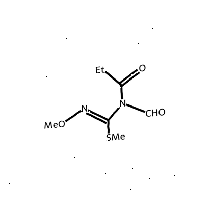 CCC(=O)N(C=O)C(=NOC)SC